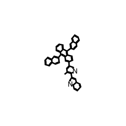 Cc1cc(-c2ccc3c(-c4ccc5ccccc5c4)c4ccccc4c(-c4ccc5ccccc5c4)c3c2)cnc1C1=CC2C=CC=CC2N=C1